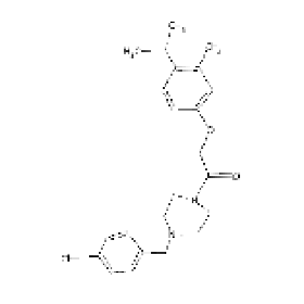 Cc1cc(OCC(=O)N2CCN(Cc3ccc(Cl)cc3)CC2)ccc1C(C)C